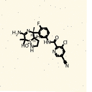 CC1(C)C(N)=N[C@](C)(c2cc(NC(=O)c3ncc(C#N)cc3Cl)ccc2F)[C@@H]2CCNS21O